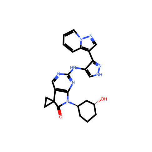 O=C1N([C@@H]2CCC[C@@H](O)C2)c2nc(Nc3c[nH]nc3-c3cnn4ccccc34)ncc2C12CC2